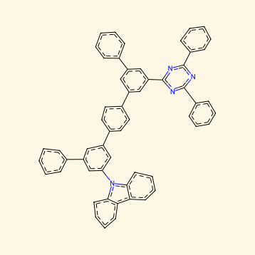 c1ccc(-c2cc(-c3ccc(-c4cc(-c5ccccc5)cc(-n5c6ccccc6c6ccccc65)c4)cc3)cc(-c3nc(-c4ccccc4)nc(-c4ccccc4)n3)c2)cc1